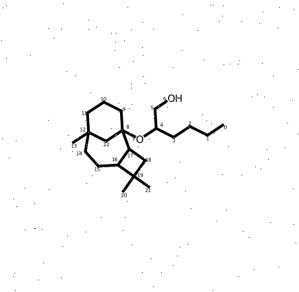 CCCCC(CO)OC12CCCC(C)(CCC3C1CC3(C)C)C2